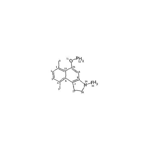 Cc1ccc(C)c2c3c(cc(OP)c12)N(P)CC3